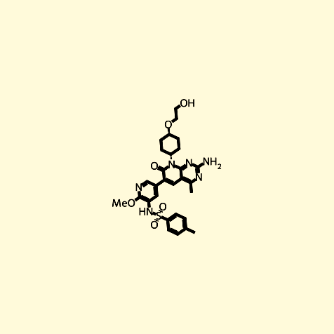 COc1ncc(-c2cc3c(C)nc(N)nc3n([C@H]3CC[C@H](OCCO)CC3)c2=O)cc1NS(=O)(=O)c1ccc(C)cc1